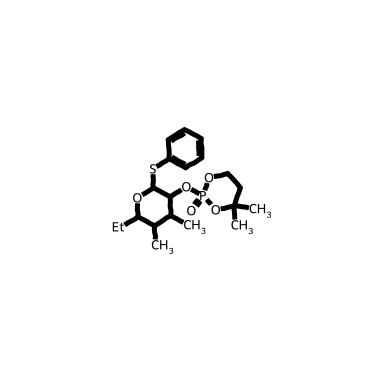 CCC1OC(Sc2ccccc2)C(OP2(=O)OCCC(C)(C)O2)C(C)C1C